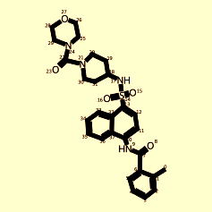 Cc1ccccc1C(=O)Nc1ccc(S(=O)(=O)NC2CCN(C(=O)N3CCOCC3)CC2)c2ccccc12